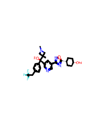 CN1CC(C)(C(O)(c2ccc(CC(F)(F)F)cc2)c2cncc(-c3noc([C@H]4CC[C@@H](O)CC4)n3)c2)C1